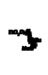 CCOC(=O)CCc1cncc(OCc2ccc(-c3cc(OC)ccc3F)c(C(C)(C)C)c2)c1